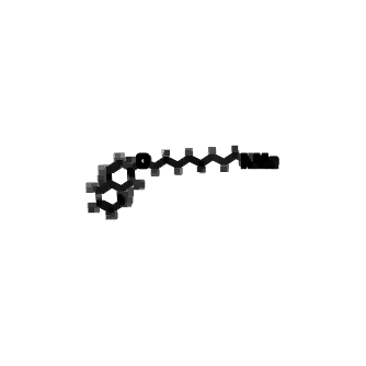 CNCCCCCCCCOc1ccc2ccccc2c1